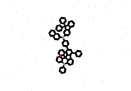 c1ccc(-c2cc(-c3ccc(N(c4ccc5c(c4)C(c4ccccc4)(c4ccccc4)c4ccccc4-5)c4ccc5ccccc5c4)cc3)cc3c2-c2cccc4c2C3(c2ccccc2)c2ccccc2N4c2ccccc2)cc1